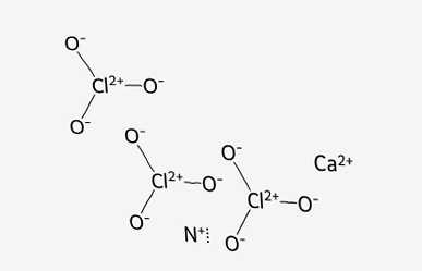 [Ca+2].[N+].[O-][Cl+2]([O-])[O-].[O-][Cl+2]([O-])[O-].[O-][Cl+2]([O-])[O-]